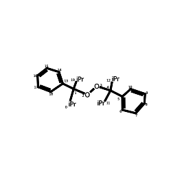 CC(C)C(OOC(c1ccccc1)(C(C)C)C(C)C)(c1ccccc1)C(C)C